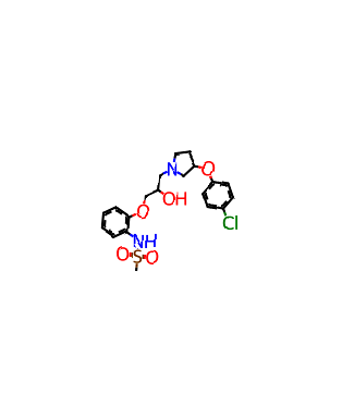 CS(=O)(=O)Nc1ccccc1OCC(O)CN1CCC(Oc2ccc(Cl)cc2)C1